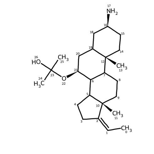 C/C=C1/CCC2C3C(CC[C@]12C)[C@@]1(C)CC[C@H](N)CC1C[C@@H]3OC(C)(C)O